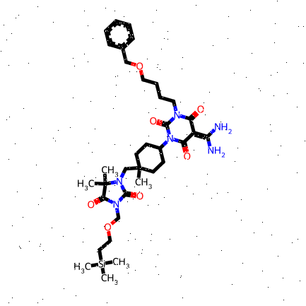 CC1(CN2C(=O)N(COCC[Si](C)(C)C)C(=O)C2(C)C)CCC(N2C(=O)C(=C(N)N)C(=O)N(CCCCOCc3ccccc3)C2=O)CC1